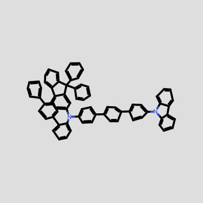 c1ccc(-c2ccc(-c3ccccc3N(c3ccc(-c4ccc(-c5ccc(-n6c7ccccc7c7ccccc76)cc5)cc4)cc3)c3ccc4c(c3)C(c3ccccc3)(c3ccccc3)c3ccccc3-4)cc2)cc1